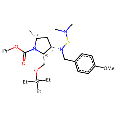 CC[Si](CC)(CC)OC[C@H]1[C@@H](N(Cc2ccc(OC)cc2)SN(C)C)C[C@@H](C)N1C(=O)OC(C)C